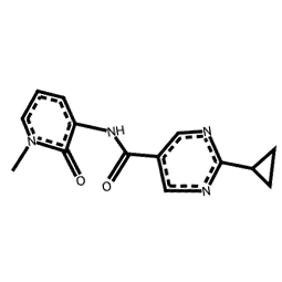 Cn1cccc(NC(=O)c2cnc(C3CC3)nc2)c1=O